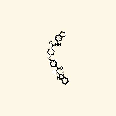 O=C(Nc1nc2ccccc2s1)c1ccc(CN2CCN(C(=O)Nc3ccc4c(c3)CCC4)CC2)cc1